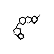 Fc1ccc(Br)c(CC2CCN(CC3COc4ccccc4N3)CC2)c1